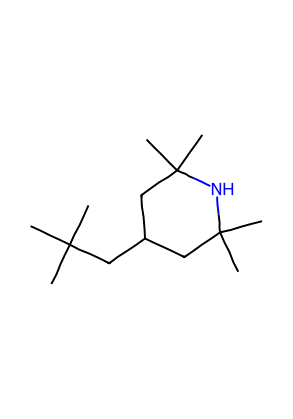 CC(C)(C)CC1CC(C)(C)NC(C)(C)C1